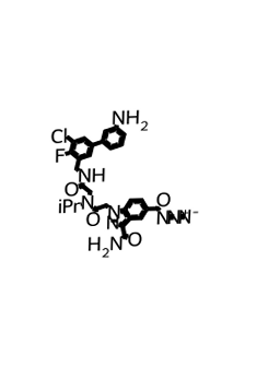 CC(C)N(CC(=O)NCc1cc(-c2cccc(N)c2)cc(Cl)c1F)C(=O)Cn1nc(C(N)=O)c2cc(C(=O)N=[N+]=[N-])ccc21